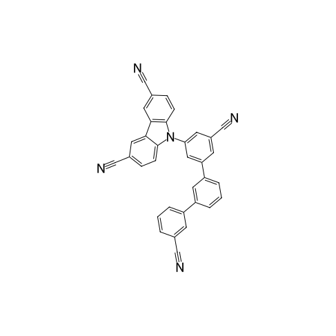 N#Cc1cccc(-c2cccc(-c3cc(C#N)cc(-n4c5ccc(C#N)cc5c5cc(C#N)ccc54)c3)c2)c1